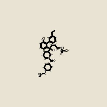 CCc1cccc(-c2c(Cl)cccc2C(O)(CCCNC(=O)O)C2CCCN(C(=O)[C@H]3CC[C@H](CNC)CC3)C2)c1